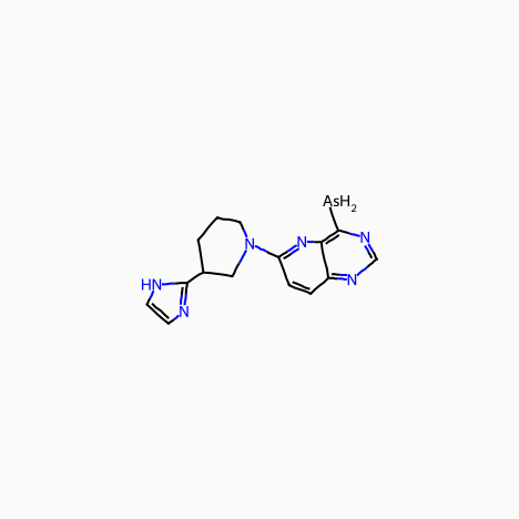 [AsH2]c1ncnc2ccc(N3CCCC(c4ncc[nH]4)C3)nc12